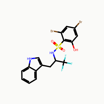 O=S(=O)(NC(Cc1c[nH]c2ccccc12)C(F)(F)F)c1c(O)cc(Br)cc1Br